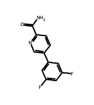 NC(=O)c1ccc(-c2cc(F)cc(F)c2)cn1